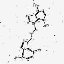 CC(C)c1ccc(C(C)C)c2c1C=CC2CCCC1C=Cc2c(C(C)C)ccc(C(C)C)c21